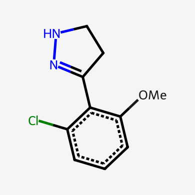 COc1cccc(Cl)c1C1=NNCC1